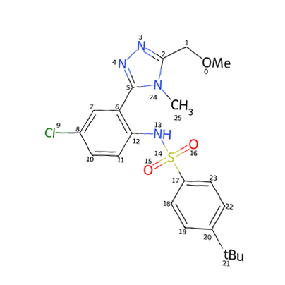 COCc1nnc(-c2cc(Cl)ccc2NS(=O)(=O)c2ccc(C(C)(C)C)cc2)n1C